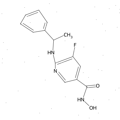 CC(Nc1ncc(C(=O)NO)cc1F)c1ccccc1